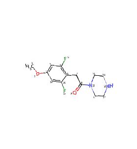 COc1cc(F)c(CC(=O)N2CCNCC2)c(F)c1